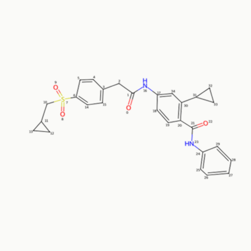 O=C(Cc1ccc(S(=O)(=O)CC2CC2)cc1)Nc1ccc(C(=O)Nc2ccccc2)c(C2CC2)c1